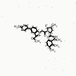 CC(=O)c1nn(CC(=O)N2[C@H](I)[C@@H](C)C[C@H]2C(=O)N[C@@H](C)c2cccc(C)c2C)c2ccc(-c3cnc(C)nc3)cc12